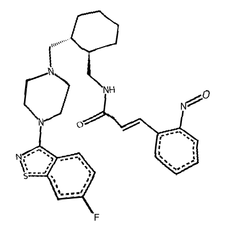 O=Nc1ccccc1/C=C/C(=O)NC[C@@H]1CCCC[C@H]1CN1CCN(c2nsc3cc(F)ccc23)CC1